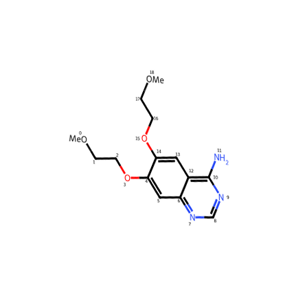 COCCOc1cc2ncnc(N)c2cc1OCCOC